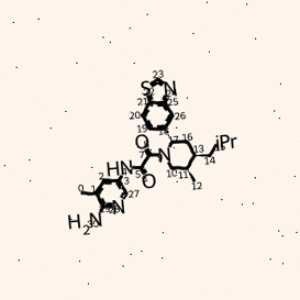 Cc1cc(NC(=O)C(=O)N2C[C@H](C)[C@H](CC(C)C)C[C@H]2c2ccc3scnc3c2)cnc1N